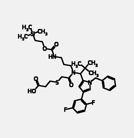 CC(C)(C)C(c1cc(-c2cc(F)ccc2F)cn1Cc1ccccc1)N(CCCNC(=O)OCC[Si](C)(C)C)C(=O)CSCCC(=O)O